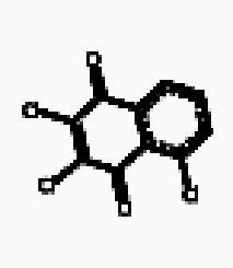 O=C1C(Cl)=C(Cl)C(=O)c2c(Cl)cccc21